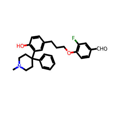 CN1CCC(c2ccccc2)(c2cc(CCCOc3ccc(C=O)cc3F)ccc2O)CC1